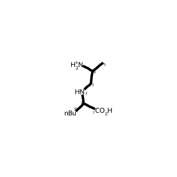 CCCCC(NCC(C)N)C(=O)O